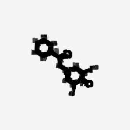 O=C(Cn1cc(I)c(=O)c(I)c1)c1ccccc1